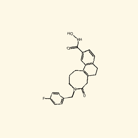 O=C(NO)c1ccc2c(c1)C1=C(CC2)CC(=O)N(Cc2ccc(F)cc2)CCC1